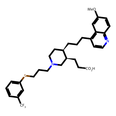 COc1ccc2nccc(CCC[C@@H]3CCN(CCCSc4cccc(C(F)(F)F)c4)C[C@@H]3CCC(=O)O)c2c1